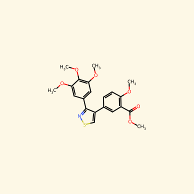 COC(=O)c1cc(-c2csnc2-c2cc(OC)c(OC)c(OC)c2)ccc1OC